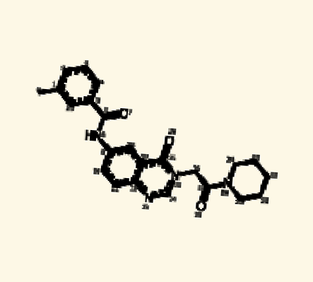 Cc1cccc(C(=O)Nc2ccc3ncn(CC(=O)N4CCCCC4)c(=O)c3c2)c1